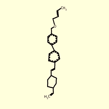 C=CC1CCC(C=Cc2ccc(-c3ccc(COCC=CC)cc3)cc2)CC1